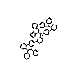 c1ccc(-c2c(-c3ccccc3)c3cc(-c4cccc(N(c5ccc6c(c5)C(c5ccccc5)(c5ccccc5)c5ccccc5-6)c5cc6ccccc6c6ccccc56)c4)ccc3c3ccccc23)cc1